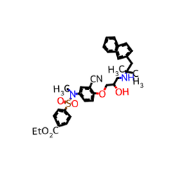 CCOC(=O)c1ccc(S(=O)(=O)N(C)c2ccc(OCC(O)CNC(C)(C)Cc3ccc4ccccc4c3)c(C#N)c2)cc1